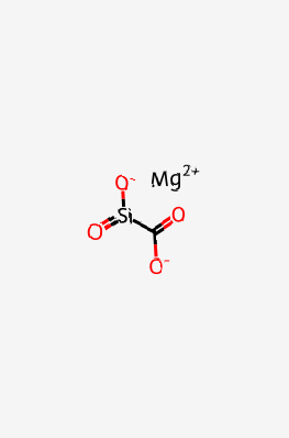 O=C([O-])[Si](=O)[O-].[Mg+2]